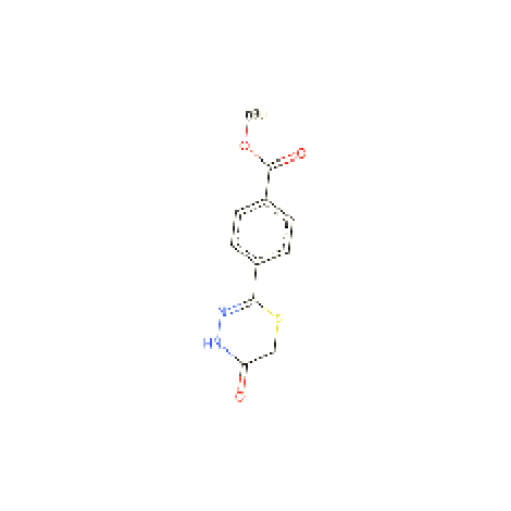 CCCCOC(=O)c1ccc(C2=NNC(=O)CS2)cc1